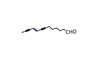 CC#C/C=C/C#CCCCCCC=O